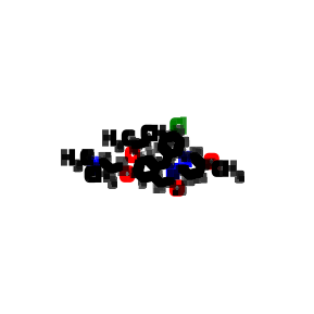 CC[C@@H](C)Oc1cc2c(cc1OCCCN(C)C)CC(=O)N(c1ccc(OC)cn1)C2c1ccc(Cl)cc1